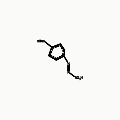 CCCCCCc1ccc(N=NS(=O)(=O)O)cc1